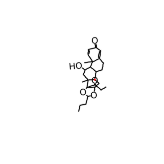 CCCC1OC2CC3C4CCC5=CC(=O)C=CC5(C)C4C(O)CC3(C)C2(C(=O)CC)O1